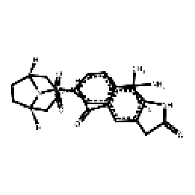 CC(C)(N)c1ccc(S(=O)(=O)N2[C@@H]3CC[C@H]2C[C@@H](NC(=O)c2cc4c(cc2Cl)NC(=O)C4)C3)cc1